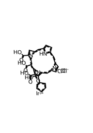 O=C(O)C1=Cc2cc3ccc(cc4nc(cc5c(-c6ccccc6)c(C(=O)O)c(c(C(=O)O)c1n2)n5C(=O)O)C=C4)[nH]3.[Cl-].[Cl-].[Cl-].[Ir+3]